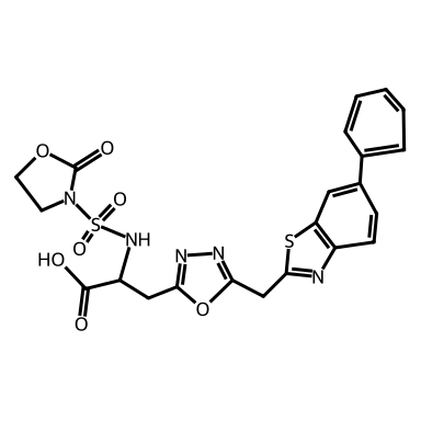 O=C(O)C(Cc1nnc(Cc2nc3ccc(-c4ccccc4)cc3s2)o1)NS(=O)(=O)N1CCOC1=O